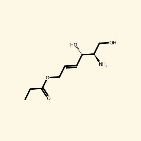 CCC(=O)OC/C=C/[C@H](O)[C@H](N)CO